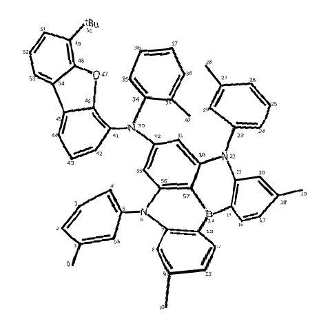 Cc1cccc(N2c3cc(C)ccc3B3c4ccc(C)cc4N(c4cccc(C)c4)c4cc(N(c5ccccc5C)c5cccc6c5oc5c(C(C)(C)C)cccc56)cc2c43)c1